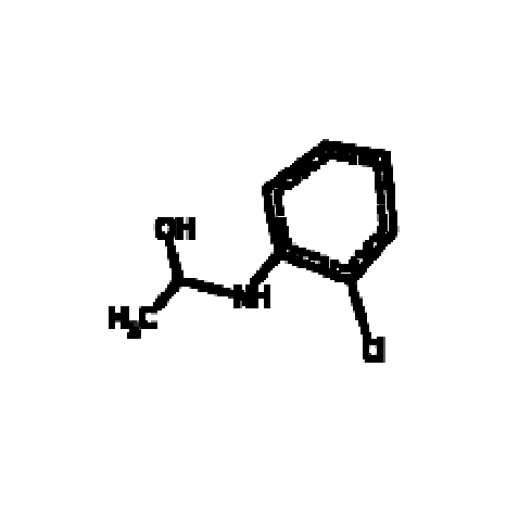 CC(O)Nc1ccccc1Cl